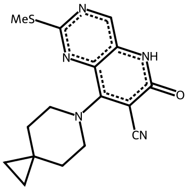 CSc1ncc2[nH]c(=O)c(C#N)c(N3CCC4(CC3)CC4)c2n1